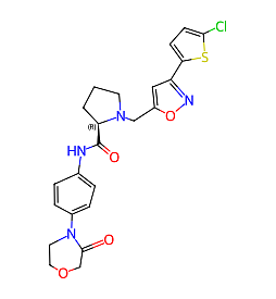 O=C(Nc1ccc(N2CCOCC2=O)cc1)[C@H]1CCCN1Cc1cc(-c2ccc(Cl)s2)no1